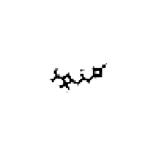 CC1CC(CC(F)CC2CC(C(C)C)C2(C)C)C1